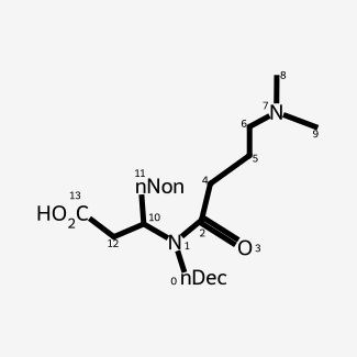 CCCCCCCCCCN(C(=O)CCCN(C)C)C(CCCCCCCCC)CC(=O)O